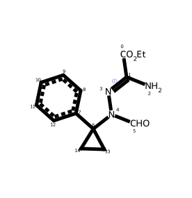 CCOC(=O)/C(N)=N/N(C=O)C1(c2ccccc2)CC1